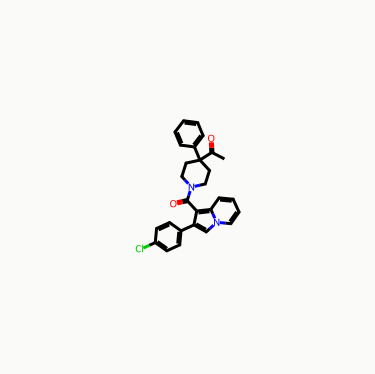 CC(=O)C1(c2ccccc2)CCN(C(=O)c2c(-c3ccc(Cl)cc3)cn3ccccc23)CC1